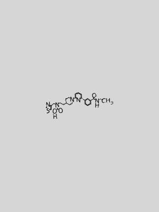 CCNC(=O)c1cccc(-c2cccc(N3CCC(CCN(Cc4cscn4)C(=O)O)CC3)n2)c1